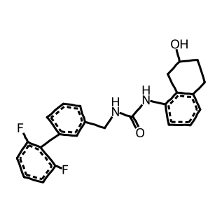 O=C(NCc1cccc(-c2c(F)cccc2F)c1)Nc1cccc2c1CC(O)CC2